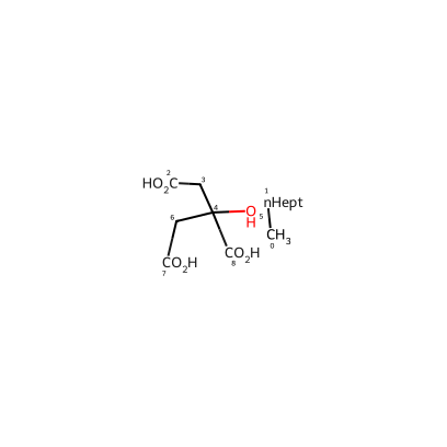 CCCCCCCC.O=C(O)CC(O)(CC(=O)O)C(=O)O